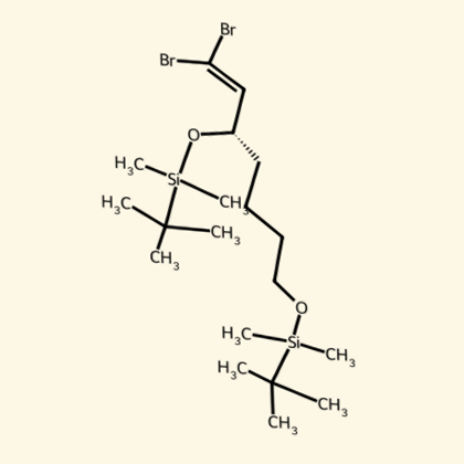 CC(C)(C)[Si](C)(C)OCCCC[C@@H](C=C(Br)Br)O[Si](C)(C)C(C)(C)C